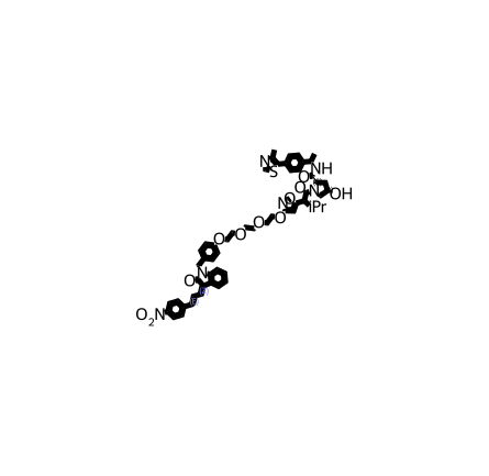 Cc1ncsc1-c1ccc(C(C)NC(=O)[C@@H]2C[C@@H](O)CN2C(=O)C(c2cc(OCCOCCOCCOc3ccc(CN4C(=O)/C(=C\C=C\c5ccc([N+](=O)[O-])cc5)c5ccccc54)cc3)no2)C(C)C)cc1